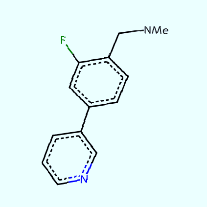 CNCc1ccc(-c2cccnc2)cc1F